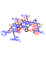 CSCC[C@H](NC(=O)[C@H](CC(C)C)NC(=O)[C@H](Cc1c[nH]c2ccccc12)NC(=O)[C@H](CCC(N)=O)NC(=O)[C@@H](NC(=O)[C@H](Cc1ccccc1)NC(=O)[C@H](CC(=O)O)NC(=O)[C@H](CCC(N)=O)NC(=O)[C@H](C)NC(=O)[C@H](CCCNC(=N)N)NC(=O)[C@@H](N)CCCNC(=N)N)C(C)C)C(=O)N[C@@H](CC(N)=O)C(=O)N[C@H](C(=O)O)[C@@H](C)O